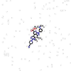 CC(C)c1nn(-c2cccc(N(C)C)c2)c2nc(C(=O)O)cc(-c3cnc(N4CCC(C#N)CC4)nc3)c12